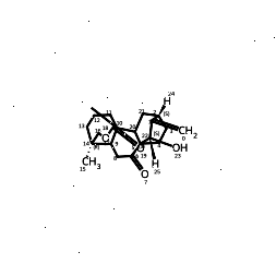 C=C1[C@H]2CC[C@@]3(C(=O)CC4C5(CCC[C@@]4(C)COC5=O)C3C2)[C@H]1O